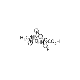 Cc1nc(C(=O)Nc2cc(C(=O)Nc3ccc(F)cc3CC(=O)O)ccc2N2CCCCC2)n2ccccc12